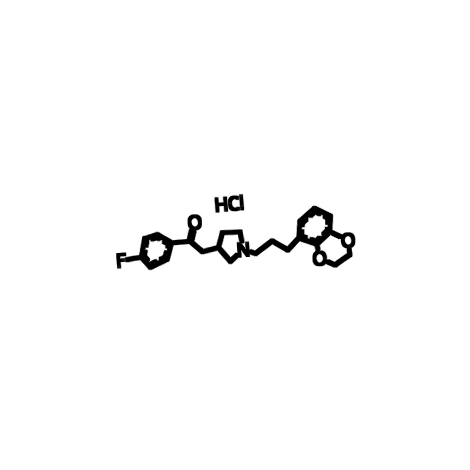 Cl.O=C(CC1CCN(CCCc2cccc3c2OCCO3)C1)c1ccc(F)cc1